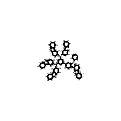 c1ccc(-n2c3cc(-c4cc(N(c5ccc6sc7ccccc7c6c5)c5ccc6sc7ccccc7c6c5)cc(N(c5ccc6sc7ccccc7c6c5)c5ccc6sc7ccccc7c6c5)c4)ccc3c3c4sc5ccccc5c4ccc32)cc1